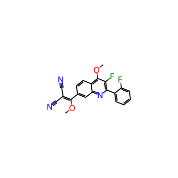 COC(=C(C#N)C#N)c1ccc2c(OC)c(F)c(-c3ccccc3F)nc2c1